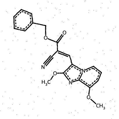 COc1nc2c(OC)cccn2c1C=C(C#N)C(=O)OCc1ccccc1